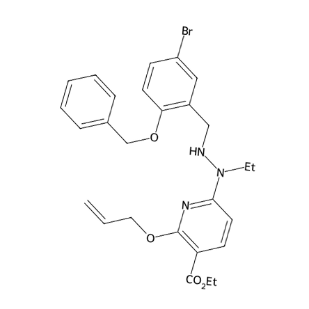 C=CCOc1nc(N(CC)NCc2cc(Br)ccc2OCc2ccccc2)ccc1C(=O)OCC